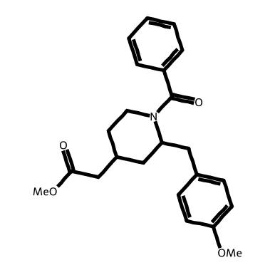 COC(=O)CC1CCN(C(=O)c2ccccc2)C(Cc2ccc(OC)cc2)C1